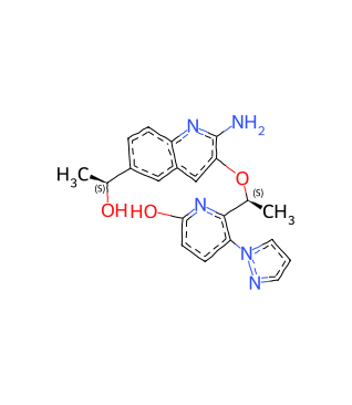 C[C@H](O)c1ccc2nc(N)c(O[C@@H](C)c3nc(O)ccc3-n3cccn3)cc2c1